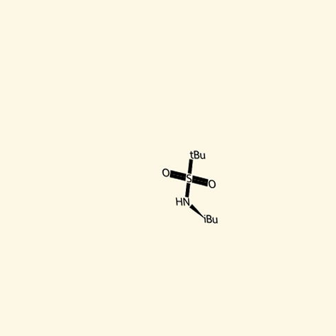 CC[C@H](C)NS(=O)(=O)C(C)(C)C